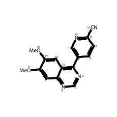 COc1cc2ncnc(-c3ccc(C#N)nc3)c2cc1OC